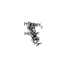 C=C(C)[C@H]1CC[C@@]2(C)S[P@](=S)(O[C@H]3[C@@H](O)[C@H](n4cnc5c(O)nc(N)nc54)O[C@@H]3CC)O[C@@H]2C1